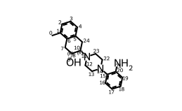 Cc1cccc2c1C[C@@H](O)[C@H](N1CCN(c3ccccc3N)CC1)C2